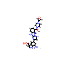 CC1C(NC2=NC(C3CC(N)C4NC[C@](C)(CO)C4C3)CCN2)CCCC1C(=O)N1CCN(C2COC2)CC1